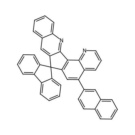 c1ccc2c(c1)-c1ccccc1C21c2cc3ccccc3nc2-c2c1cc(-c1ccc3ccccc3c1)c1cccnc21